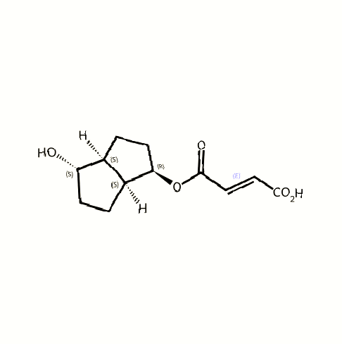 O=C(O)/C=C/C(=O)O[C@@H]1CC[C@H]2[C@@H]1CC[C@@H]2O